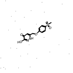 CS(=O)(=O)c1ccc(OCc2cc(=O)c(O)n[nH]2)cc1